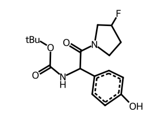 CC(C)(C)OC(=O)NC(C(=O)N1CCC(F)C1)c1ccc(O)cc1